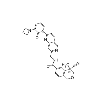 C[C@@]1(C#N)COCc2ccc(C(=O)NCc3cc4nc(-n5cccc(N6CCC6)c5=O)ccc4cn3)cc21